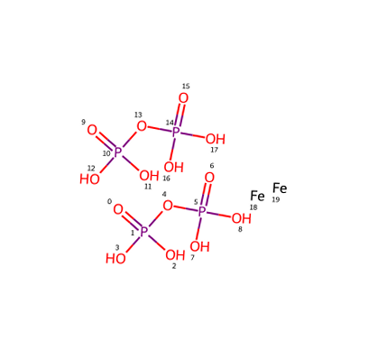 O=P(O)(O)OP(=O)(O)O.O=P(O)(O)OP(=O)(O)O.[Fe].[Fe]